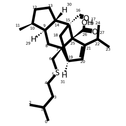 CC(C)CCSC[C@]12C[C@H]3[C@@H](C)CC[C@@H]3[C@]3(C=O)C[C@H]1C=C(C(C)C)[C@]23C(=O)O